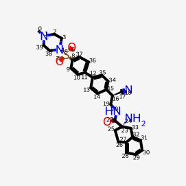 CN1CCN(S(=O)(=O)c2ccc(-c3ccc([C@@H](C#N)CNC(=O)[C@]4(N)CCc5ccccc5C4)cc3)cc2)CC1